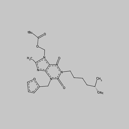 CC(=O)O[C@@H](C)CCCCn1c(=O)c2c(nc(C)n2COC(=O)C(C)(C)C)n(Cc2ccco2)c1=O